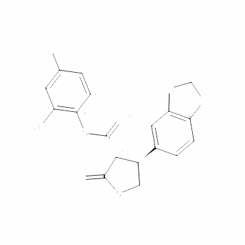 O=C1NC[C@H](c2ccc3c(c2)OCO3)[C@H]1C(=O)Nc1ccc(F)cc1F